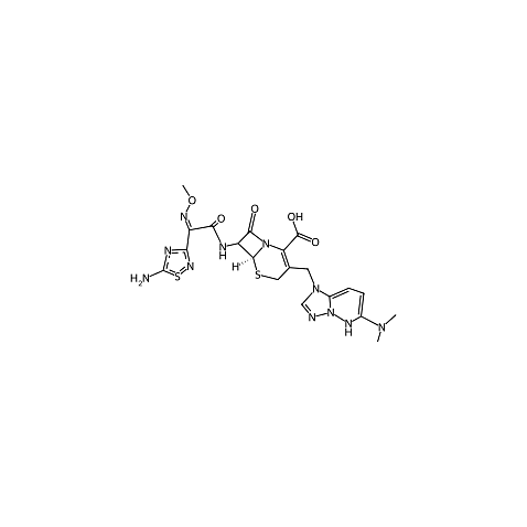 CO/N=C(\C(=O)NC1C(=O)N2C(C(=O)O)=C(CN3C=NN4NC(N(C)C)=CC=C34)CS[C@@H]12)c1nsc(N)n1